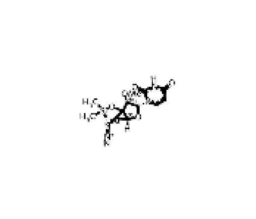 CO[C@H]1[C@H](n2ccc(=O)[nH]c2=O)O[C@@H]2C(N=[N+]=[N-])C21O[Si](C)(C)C(C)(C)C